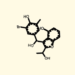 Cc1cc(C(O)c2c(C(C)O)oc3cccc(O)c23)cc(Br)c1O